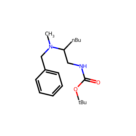 CCCCC(CNC(=O)OC(C)(C)C)N(C)Cc1ccccc1